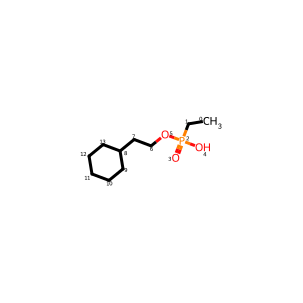 CCP(=O)(O)OCCC1CCCCC1